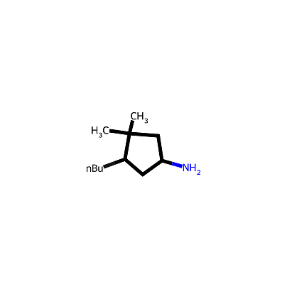 CCCCC1CC(N)CC1(C)C